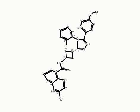 CCOc1ccc(-c2nnc([C@H]3C[C@H](NC(=O)c4cccc5nc(O)cnc45)C3)n2-c2ccccc2F)nc1